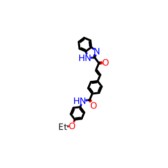 CCOc1ccc(NC(=O)c2ccc(C=CC(=O)c3nc4ccccc4[nH]3)cc2)cc1